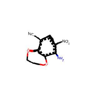 N#Cc1cc([N+](=O)[O-])c(N)c2c1OCCO2